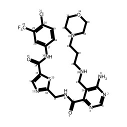 Nc1ncnc(C(=O)NCc2ncc(C(=O)Nc3ccc(Cl)c(C(F)(F)F)c3)s2)c1CNCCCN1CCOCC1